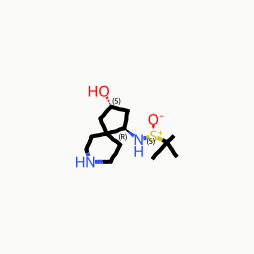 CC(C)(C)[S@@+]([O-])N[C@@H]1C[C@@H](O)CC12CCNCC2